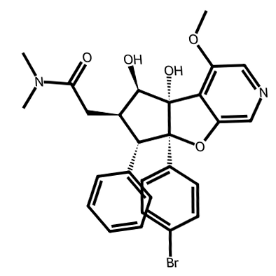 COc1cncc2c1[C@]1(O)[C@H](O)[C@H](CC(=O)N(C)C)[C@@H](c3ccccc3)[C@]1(c1ccc(Br)cc1)O2